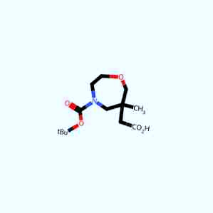 CC1(CC(=O)O)COCCN(C(=O)OC(C)(C)C)C1